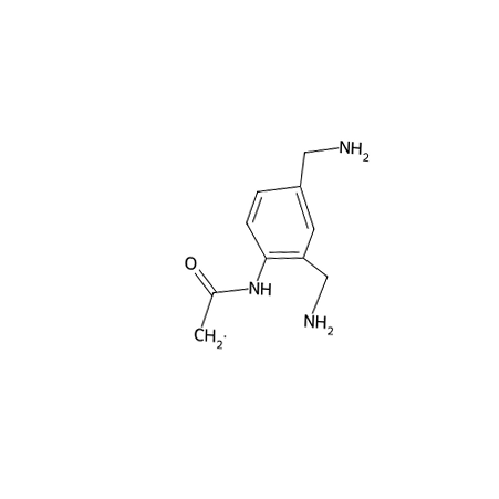 [CH2]C(=O)Nc1ccc(CN)cc1CN